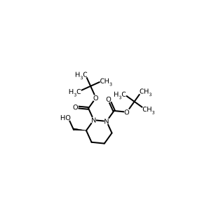 CC(C)(C)OC(=O)N1CCC[C@@H](CO)N1C(=O)OC(C)(C)C